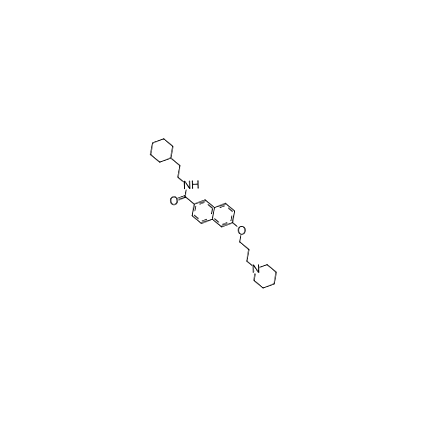 O=C(NCCC1CCCCC1)c1ccc2cc(OCCCN3CCCCC3)ccc2c1